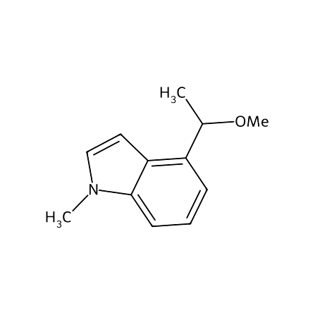 COC(C)c1cccc2c1ccn2C